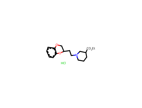 CCOC(=O)C1CCCN(CCC2COc3ccccc3O2)C1.Cl